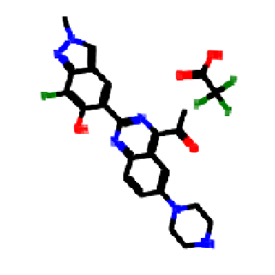 CC(=O)c1nc(-c2cc3cn(C)nc3c(F)c2O)nc2ccc(N3CCNCC3)cc12.O=C(O)C(F)(F)F